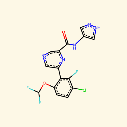 O=C(Nc1cn[nH]c1)c1cncc(-c2c(OC(F)F)ccc(Cl)c2F)n1